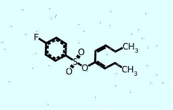 CC/C=C\C(=C/CC)OS(=O)(=O)c1ccc(F)cc1